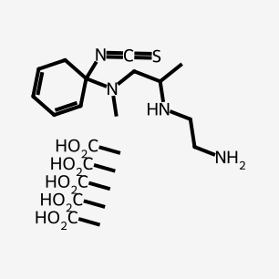 CC(=O)O.CC(=O)O.CC(=O)O.CC(=O)O.CC(=O)O.CC(CN(C)C1(N=C=S)C=CC=CC1)NCCN